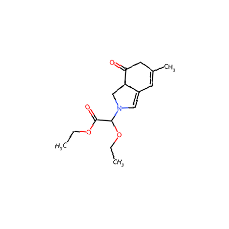 CCOC(=O)C(OCC)N1C=C2C=C(C)CC(=O)C2C1